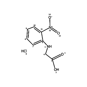 Cl.O=C(O)CNc1ccccc1[N+](=O)[O-]